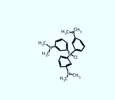 CN(C)c1cccc([Si](Cl)(c2cccc(N(C)C)c2)c2cccc(N(C)C)c2)c1